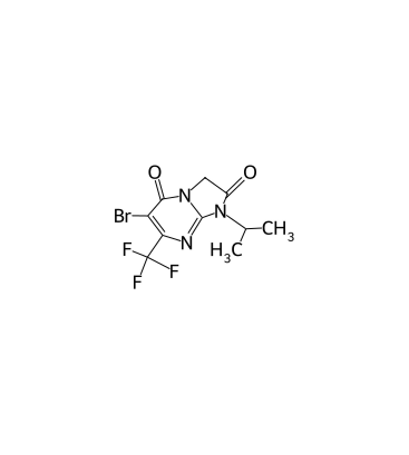 CC(C)N1C(=O)Cn2c1nc(C(F)(F)F)c(Br)c2=O